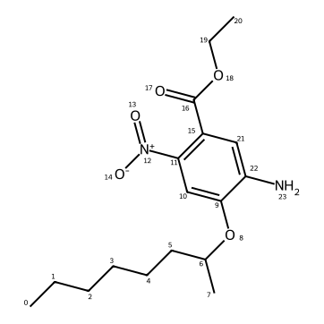 CCCCCCC(C)Oc1cc([N+](=O)[O-])c(C(=O)OCC)cc1N